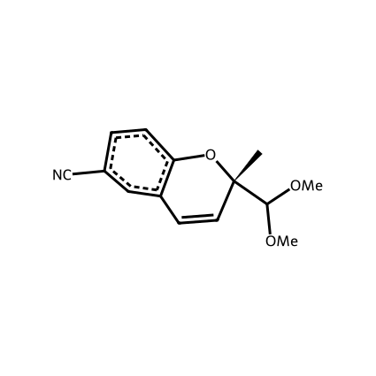 COC(OC)[C@]1(C)C=Cc2cc(C#N)ccc2O1